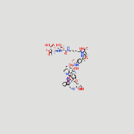 CC[C@]1(O)CC2CCN(CCc3c([nH]c4ccccc34)[C@@](C(=O)OC)(c3cc4c(cc3OC)N(C)[C@H]3[C@@](O)(CNC(=O)c5ccc([Si](C)(C)O[Si](C)(C)CC(NC(=O)CCCCCNC(=O)CC[C@](C)(NC(=O)N[C@@](C)(CCC(=O)O)C(=O)O)C(=O)O)C(=O)O)cc5)[C@H](O)[C@]5(CC)C=CCN6CC[C@]43[C@H]65)C2)C1